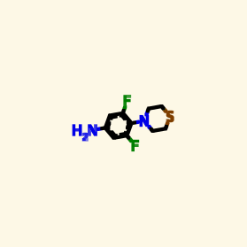 Nc1cc(F)c(N2CCSCC2)c(F)c1